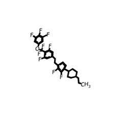 CCCC1CCC(c2ccc(CCc3cc(F)c(C(F)(F)Oc4cc(F)c(F)c(F)c4)c(F)c3)c(F)c2F)CC1